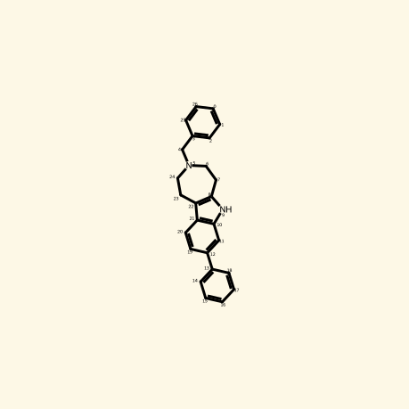 c1ccc(CN2CCc3[nH]c4cc(-c5ccccc5)ccc4c3CC2)cc1